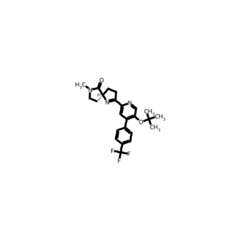 CN1CC[C@@]2(CCC(c3cc(-c4ccc(C(F)(F)F)cc4)c(OC(C)(C)C)cn3)=N2)C1=O